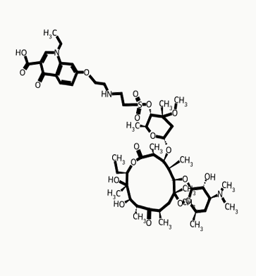 CC[C@H]1OC(=O)[C@H](C)[C@@H](O[C@H]2C[C@@](C)(OC)[C@@H](OS(=O)(=O)CCNCCOc3ccc4c(=O)c(C(=O)O)cn(CC)c4c3)[C@H](C)O2)[C@@H](C)[C@@H](O[C@@H]2O[C@H](C)C[C@H](N(C)C)[C@H]2O)[C@](C)(OC)C[C@@H](C)C(=O)[C@H](C)[C@@H](O)[C@]1(C)O